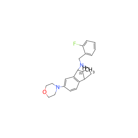 C[C@H]1C2CCN(Cc3ccccc3F)C1c1cc(N3CCOCC3)ccc12